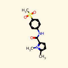 Cc1ccc(C(=O)Nc2ccc(S(C)(=O)=O)cc2)n1C